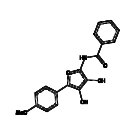 COc1ccc(-c2oc(NC(=O)c3ccccc3)c(O)c2O)cc1